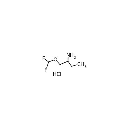 CCC(N)COC(F)F.Cl